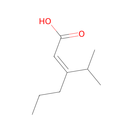 CCCC(=CC(=O)O)C(C)C